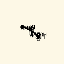 Cl.Cl.Cl.O=c1[nH]c2c(O)ccc([C@@H](O)CNCCc3cccc(CNCCc4ccccn4)c3)c2s1